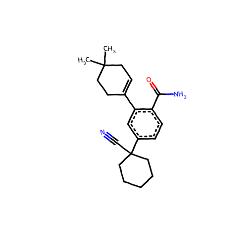 CC1(C)CC=C(c2cc(C3(C#N)CCCCC3)ccc2C(N)=O)CC1